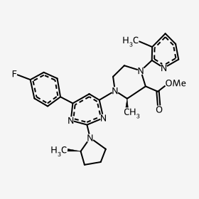 COC(=O)C1[C@@H](C)N(c2cc(-c3ccc(F)cc3)nc(N3CCC[C@H]3C)n2)CCN1c1ncccc1C